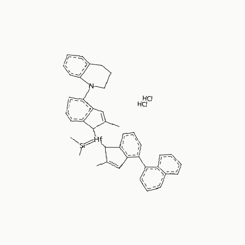 CC1=Cc2c(-c3cccc4ccccc34)cccc2[CH]1[Hf]([CH]1C(C)=Cc2c1cccc2N1CCCc2ccccc21)=[Si](C)C.Cl.Cl